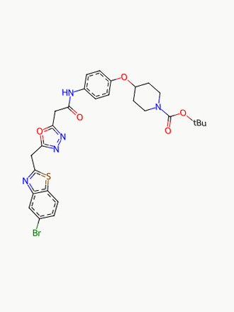 CC(C)(C)OC(=O)N1CCC(Oc2ccc(NC(=O)Cc3nnc(Cc4nc5cc(Br)ccc5s4)o3)cc2)CC1